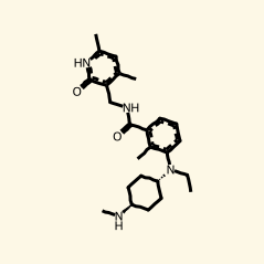 CCN(c1cccc(C(=O)NCc2c(C)cc(C)[nH]c2=O)c1C)[C@H]1CC[C@H](NC)CC1